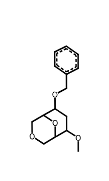 COC1CC(OCc2ccccc2)C2COCC1O2